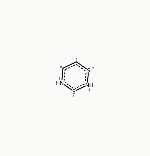 c1cs[nH]s[nH]1